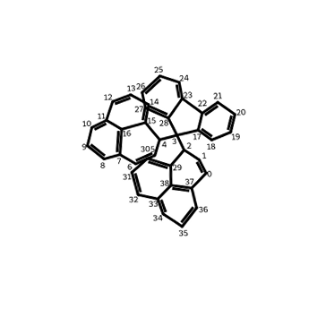 C1=CC(C2(C3C=Cc4cccc5cccc3c45)c3ccccc3-c3ccccc32)c2cccc3cccc1c23